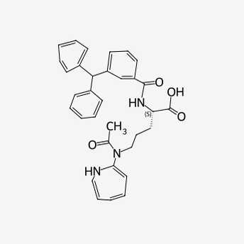 CC(=O)N(CCC[C@H](NC(=O)c1cccc(C(c2ccccc2)c2ccccc2)c1)C(=O)O)C1=CC=CC=CN1